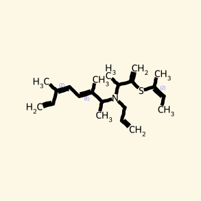 C=CCN(C(C)C(=C)S/C(C)=C\C)C(C)/C(C)=C/C=C(/C)C=C